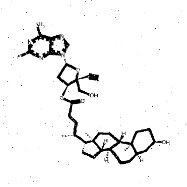 C#C[C@]1(CO)O[C@@H](n2cnc3c(N)nc(F)nc32)C[C@@H]1OC(=O)CC[C@@H](C)[C@H]1CC[C@H]2[C@@H]3CC[C@@H]4C[C@H](O)CC[C@]4(C)[C@H]3CC[C@]12C